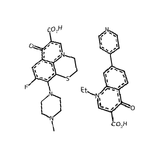 CCn1cc(C(=O)O)c(=O)c2ccc(-c3ccncc3)cc21.CN1CCN(c2c(F)cc3c(=O)c(C(=O)O)cn4c3c2SCC4)CC1